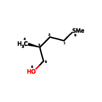 CSCC[C@H](C)CO